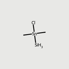 [CH3][Sn]([CH3])([SiH3])[Cl]